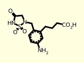 Nc1ccc(CN2CC(=O)NS2(=O)=O)c(CCCC(=O)O)c1